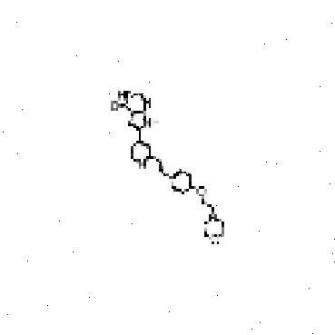 O=c1[nH]cnc2[nH]c(-c3ccnc(C=Cc4ccc(OCCN5CCOCC5)cc4)c3)cc12